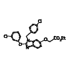 CCOC(=O)COc1ccc2nc(Oc3cccc(Cl)c3)n(Cc3ccc(Cl)cc3)c2c1